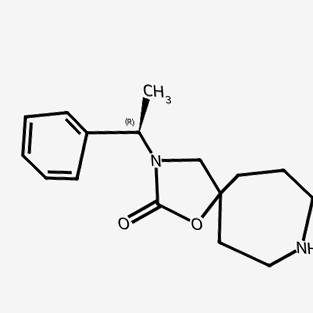 C[C@H](c1ccccc1)N1CC2(CCCNCC2)OC1=O